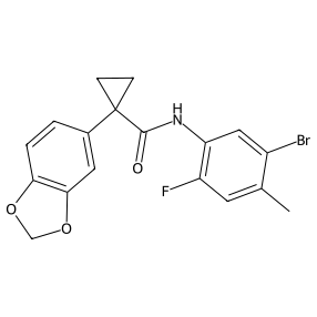 Cc1cc(F)c(NC(=O)C2(c3ccc4c(c3)OCO4)CC2)cc1Br